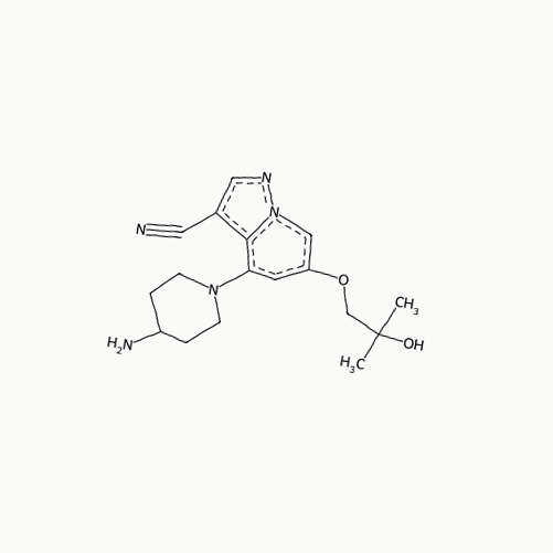 CC(C)(O)COc1cc(N2CCC(N)CC2)c2c(C#N)cnn2c1